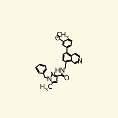 COc1cccc(-c2ccc(CNC(=O)c3cc(C)n(Cc4ccccc4)n3)c3cnccc23)c1